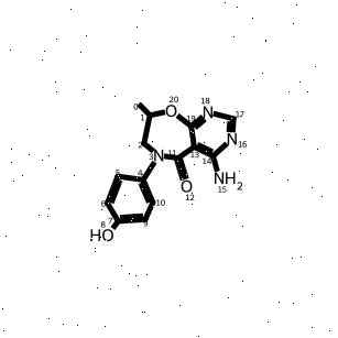 CC1CN(c2ccc(O)cc2)C(=O)c2c(N)ncnc2O1